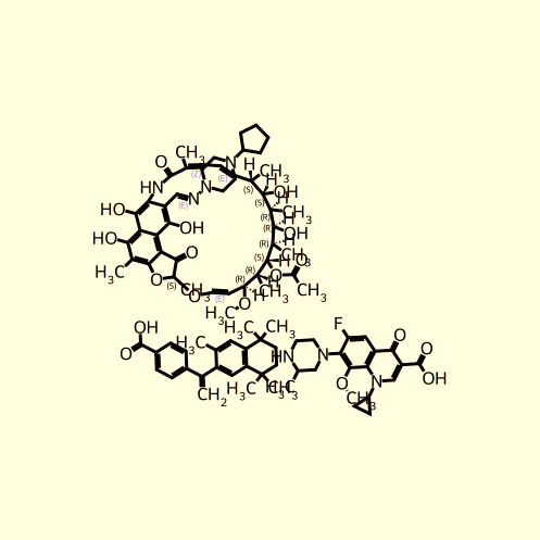 C=C(c1ccc(C(=O)O)cc1)c1cc2c(cc1C)C(C)(C)CCC2(C)C.CO[C@H]1/C=C/O[C@@]2(C)Oc3c(C)c(O)c4c(O)c(c(/C=N/N5CCN(C6CCCC6)CC5)c(O)c4c3C2=O)NC(=O)/C(C)=C\C=C\[C@H](C)[C@H](O)[C@@H](C)[C@@H](O)[C@@H](C)[C@H](OC(C)=O)[C@@H]1C.COc1c(N2CCNC(C)C2)c(F)cc2c(=O)c(C(=O)O)cn(C3CC3)c12